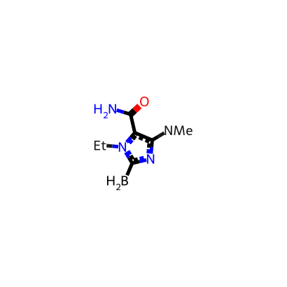 Bc1nc(NC)c(C(N)=O)n1CC